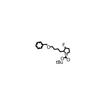 CC(C)(C)OC(=O)N1CCC(F)C1CCCCOCc1ccccc1